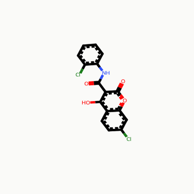 O=C(Nc1ccccc1Cl)c1c(O)c2ccc(Cl)cc2oc1=O